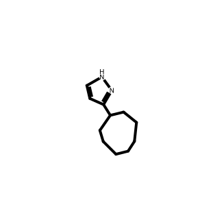 c1cc(C2CCCCCCC2)n[nH]1